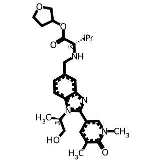 Cc1cc(-c2nc3cc(CN[C@H](C(=O)OC4CCOC4)C(C)C)ccc3n2[C@H](C)CO)cn(C)c1=O